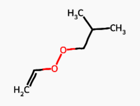 C=COOCC(C)C